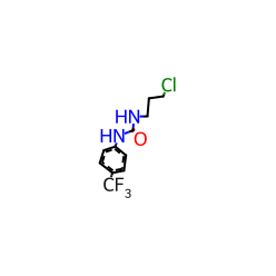 O=C(NCCCCl)Nc1ccc(C(F)(F)F)cc1